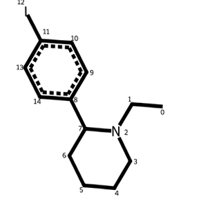 CCN1CCCCC1c1ccc(I)cc1